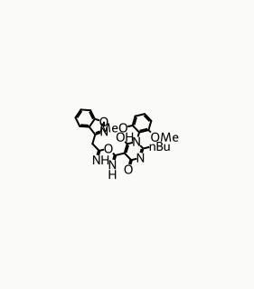 CCCCc1nc(=O)c(C(=N)OC(=N)Cc2noc3ccccc23)c(O)n1-c1c(OC)cccc1OC